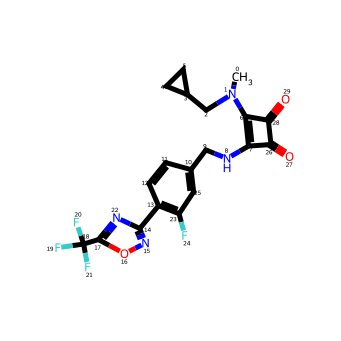 CN(CC1CC1)c1c(NCc2ccc(-c3noc(C(F)(F)F)n3)c(F)c2)c(=O)c1=O